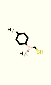 CB(CS)C1CCC(C)CC1